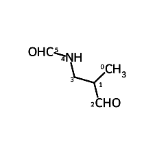 CC(C=O)CNC=O